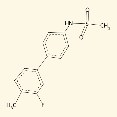 Cc1ccc(-c2ccc(NS(C)(=O)=O)cc2)cc1F